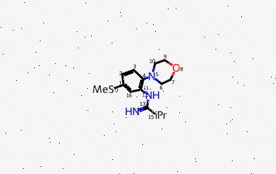 CSc1ccc(N2CCOCC2)c(NC(=N)C(C)C)c1